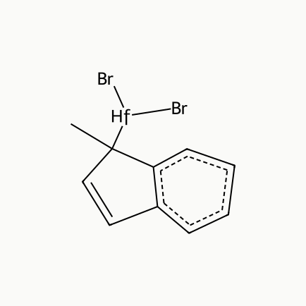 C[C]1([Hf]([Br])[Br])C=Cc2ccccc21